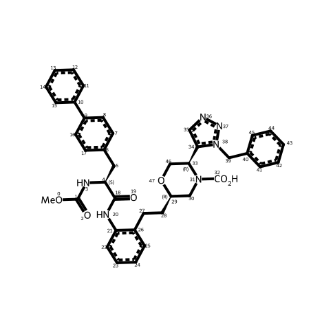 COC(=O)N[C@@H](Cc1ccc(-c2ccccc2)cc1)C(=O)Nc1ccccc1CC[C@@H]1CN(C(=O)O)[C@H](c2cnnn2Cc2ccccc2)CO1